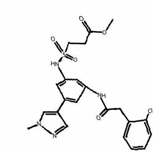 COC(=O)CCS(=O)(=O)Nc1cc(NC(=O)Cc2ccccc2Cl)cc(-c2cnn(C)c2)c1